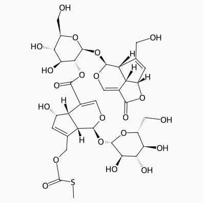 CSC(=O)OCC1=C[C@H](O)[C@@H]2C(C(=O)O[C@H]3[C@H](O[C@@H]4OC=C5C(=O)O[C@H]6C=C(CO)[C@@H]4[C@@H]56)O[C@H](CO)[C@@H](O)[C@@H]3O)=CO[C@@H](O[C@@H]3O[C@H](CO)[C@@H](O)[C@H](O)[C@H]3O)[C@H]12